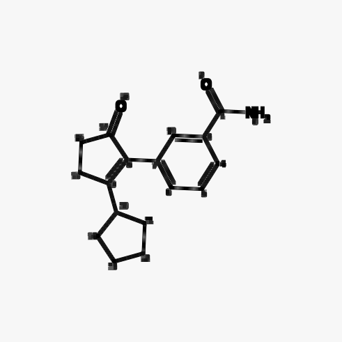 NC(=O)c1cccc(C2=C(C3CCCC3)CCC2=O)c1